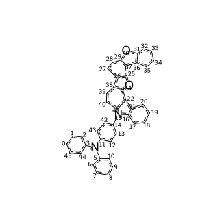 c1ccc(N(c2ccccc2)c2ccc(-n3c4ccccc4c4c5oc6c(ccc7oc8ccccc8c76)c5ccc43)cc2)cc1